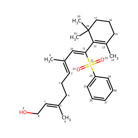 CC(=CCCC(C)=CCO)C=C(C1=C(C)CCCC1(C)C)S(=O)(=O)c1ccccc1